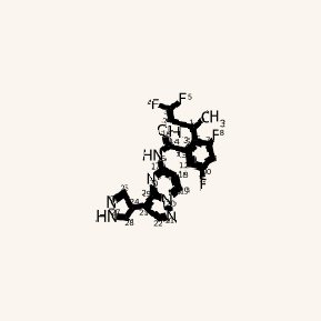 CC(CC(F)F)c1c(F)cc(F)cc1C(C)Nc1ccn2ncc(C3C=NNC3)c2n1